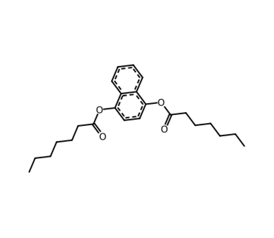 CCCCCCC(=O)Oc1ccc(OC(=O)CCCCCC)c2ccccc12